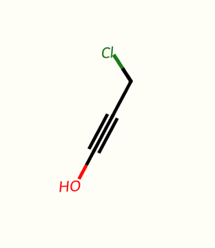 OC#CCCl